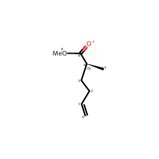 C=CCC[C@H](C)C(=O)OC